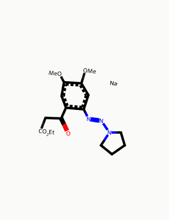 CCOC(=O)CC(=O)c1cc(OC)c(OC)cc1N=NN1CCCC1.[Na]